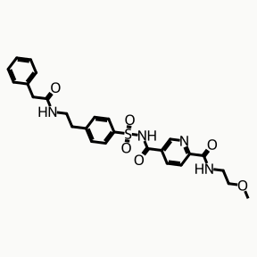 COCCNC(=O)c1ccc(C(=O)NS(=O)(=O)c2ccc(CCNC(=O)Cc3ccccc3)cc2)cn1